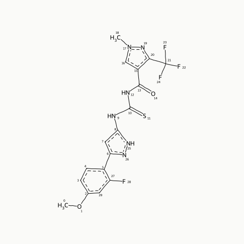 COc1ccc(-c2cc(NC(=S)NC(=O)c3cn(C)nc3C(F)(F)F)[nH]n2)c(F)c1